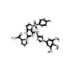 COc1cc(-n2cnc(Nc3nc(N4CCCC4C(N)=O)nc4ccn(S(=O)(=O)c5ccc(C)cc5)c34)c2)cc(OC)c1OC